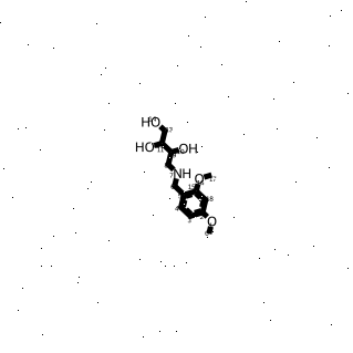 COc1ccc(CNCC(O)C(O)CO)c(OC)c1